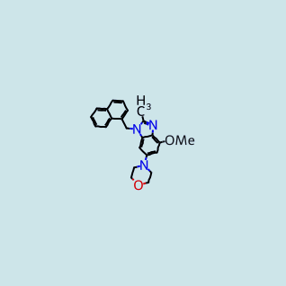 COc1cc(N2CCOCC2)cc2c1nc(C)n2Cc1cccc2ccccc12